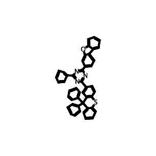 c1ccc(-c2nc(-c3ccc4c(c3)C(c3ccccc3)(c3ccccc3)c3ccccc3S4)nc(-c3ccc4c(c3)oc3ccccc34)n2)cc1